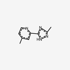 Cc1ccnc(-c2nc(C)n[nH]2)c1